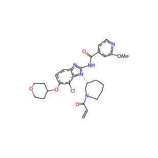 C=CC(=O)N1CCCC[C@@H](n2c(NC(=O)c3ccnc(OC)c3)nc3ccc(OC4CCOCC4)c(Cl)c32)C1